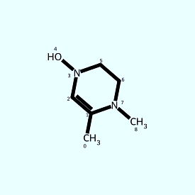 CC1=CN(O)CCN1C